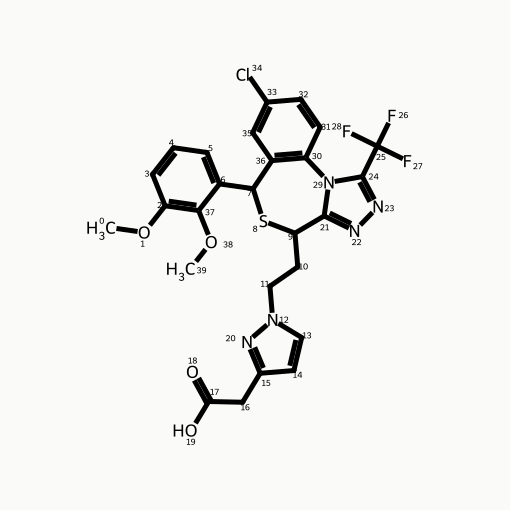 COc1cccc(C2SC(CCn3ccc(CC(=O)O)n3)c3nnc(C(F)(F)F)n3-c3ccc(Cl)cc32)c1OC